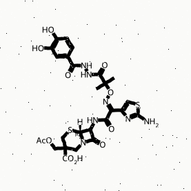 CC(=O)OCC1(C(=O)O)CS[C@@H]2C(NC(=O)C(=NOC(C)(C)C(=O)NNC(=O)c3ccc(O)c(O)c3)c3csc(N)n3)C(=O)N2C1